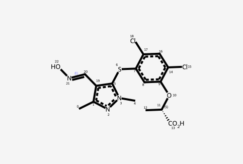 Cc1nn(C)c(Sc2cc(O[C@@H](C)C(=O)O)c(Cl)cc2Cl)c1/C=N/O